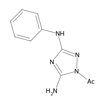 CC(=O)n1nc(Nc2ccccc2)nc1N